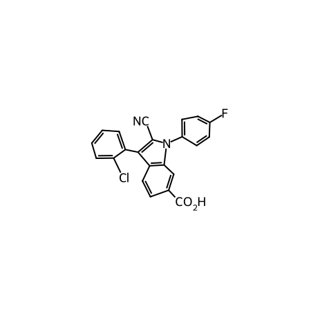 N#Cc1c(-c2ccccc2Cl)c2ccc(C(=O)O)cc2n1-c1ccc(F)cc1